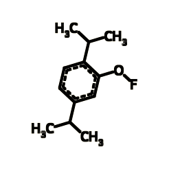 CC(C)c1ccc(C(C)C)c(OF)c1